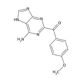 COc1ccc(C(=O)c2nc(N)c3[nH]cnc3n2)cc1